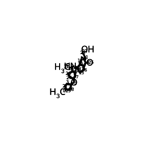 Cc1ccc(Oc2ccc(C(C)Nc3nccc4c3CN(CCO)C4=O)cc2)cc1